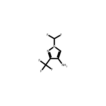 Nc1cn(C(F)F)nc1C(F)(F)F